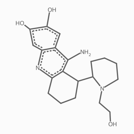 Nc1c2c(nc3cc(O)c(O)cc13)CCCC2C1CCCCN1CCO